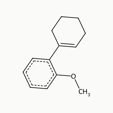 COc1ccccc1C1=CCCCC1